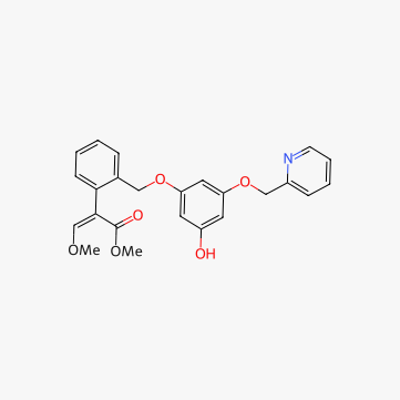 COC=C(C(=O)OC)c1ccccc1COc1cc(O)cc(OCc2ccccn2)c1